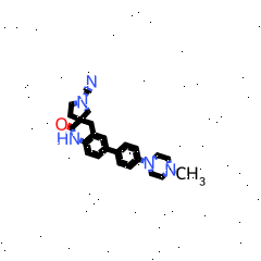 CN1CCN(c2ccc(-c3ccc4c(c3)CC3(CCN(C#N)C3)C(=O)N4)cc2)CC1